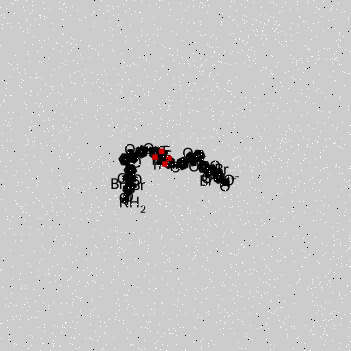 NOOc1cc(Br)c(N2C(=O)c3ccc(-c4cccc5c4C(=O)N(c4ccc(Oc6ccc(C(c7ccc(Oc8ccc(N9C(=O)c%10cccc(-c%11ccc%12c(c%11)C(=O)N(c%11c(Br)cc([N+](=O)[O-])cc%11Br)C%12=O)c%10C9=O)cc8)cc7)(C(F)(F)F)C(F)(F)F)cc6)cc4)C5=O)cc3C2=O)c(Br)c1